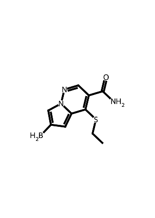 Bc1cc2c(SCC)c(C(N)=O)cnn2c1